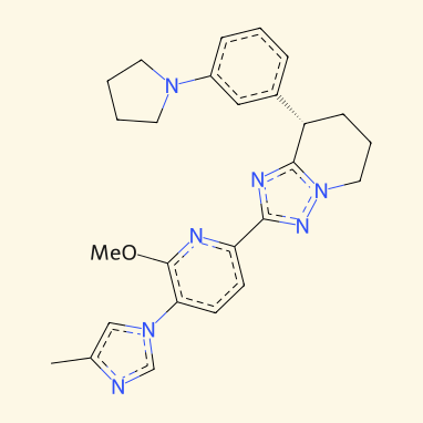 COc1nc(-c2nc3n(n2)CCC[C@H]3c2cccc(N3CCCC3)c2)ccc1-n1cnc(C)c1